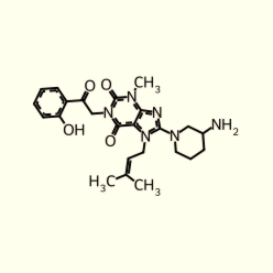 CC(C)=CCn1c(N2CCCC(N)C2)nc2c1c(=O)n(CC(=O)c1ccccc1O)c(=O)n2C